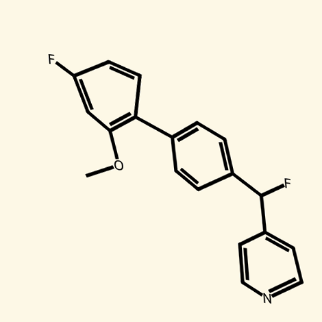 COc1cc(F)ccc1-c1ccc(C(F)c2ccncc2)cc1